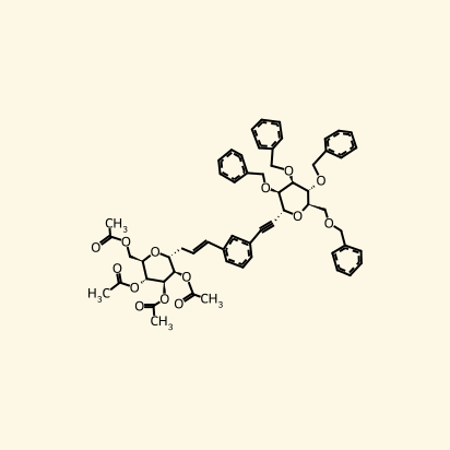 CC(=O)OC[C@H]1O[C@H](CC=Cc2cccc(C#C[C@H]3O[C@H](COCc4ccccc4)[C@@H](OCc4ccccc4)[C@H](OCc4ccccc4)[C@@H]3OCc3ccccc3)c2)[C@@H](OC(C)=O)[C@@H](OC(C)=O)[C@@H]1OC(C)=O